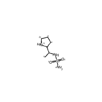 CC(NS(N)(=O)=O)C1CCCN1